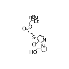 CCCCC(CC)COC(=O)CCSc1ccnc(N2CCCC2CO)c1Cl